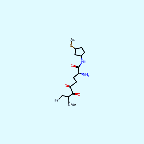 CN[C@@H](CC(C)C)C(=O)C(=O)CC[C@H](N)C(=O)NC1CCC(SC(C)=O)C1